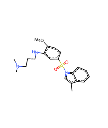 COc1ccc(S(=O)(=O)n2cc(C)c3ccccc32)cc1NCCCN(C)C